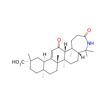 CC1(C)NC(=O)CC[C@]2(C)[C@H]3C(=O)C=C4[C@@H]5C[C@@](C)(C(=O)O)CC[C@]5(C)CC[C@@]4(C)[C@]3(C)CC[C@@H]12